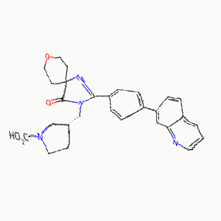 O=C(O)N1CC[C@@H](CN2C(=O)C3(CCOCC3)N=C2c2ccc(-c3ccc4cccnc4c3)cc2)C1